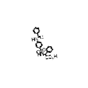 O=C(Nc1ccc(S(=O)(=O)N[C@H](C(=O)O)c2ccccc2)cc1)c1ccccc1